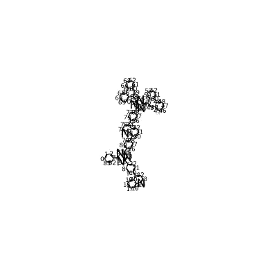 c1ccc(-c2nc(-c3ccc(-c4ccnc5ccccc45)cc3)nc(-c3ccc(-c4cccc5c(-c6ccc(-c7nc(-c8cc9ccccc9c9ccccc89)nc(-c8cc9ccccc9c9ccccc89)n7)cc6)ccnc45)cc3)n2)cc1